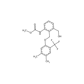 COC(=O)Nc1cccc(CO)c1COc1cc(C)c(C)cc1C(F)(F)F